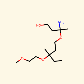 CCC(C)(CCOC(C)(N)CCO)OCCOC